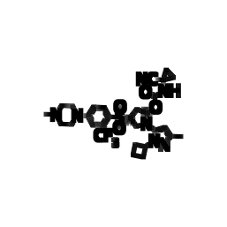 Cc1cc(N2C[C@H](S(=O)(=O)c3ccc(N4CCN(C)CC4)cc3C(F)(F)F)C[C@@H]2OC(=O)NC2(C#N)CC2)n(C2CCC2)n1